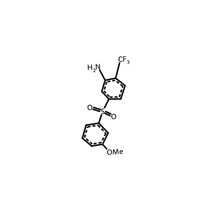 COc1cccc(S(=O)(=O)c2ccc(C(F)(F)F)c(N)c2)c1